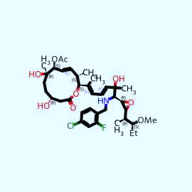 CC[C@H](OC)[C@@H](C)C1O[C@@H]1C(NCc1ccc(Cl)cc1F)C(C)(O)/C=C/C=C(\C)[C@H]1OC(=O)C[C@H](O)CC[C@@](C)(O)[C@@H](OC(C)=O)/C=C/[C@@H]1C